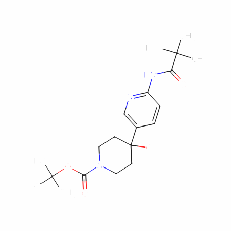 CC(C)(C)OC(=O)N1CCC(O)(c2ccc(NC(=O)C(C)(C)C)nc2)CC1